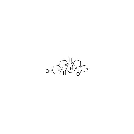 C=C[C@]1(C(C)=O)CC[C@H]2[C@@H]3CCC4CC(=O)CC[C@]4(C)[C@H]3CC[C@@]21C